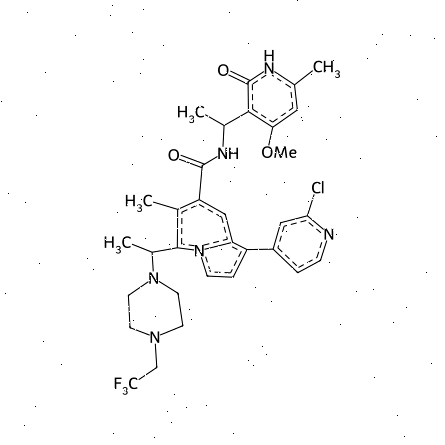 COc1cc(C)[nH]c(=O)c1C(C)NC(=O)c1cc2c(-c3ccnc(Cl)c3)ccn2c(C(C)N2CCN(CC(F)(F)F)CC2)c1C